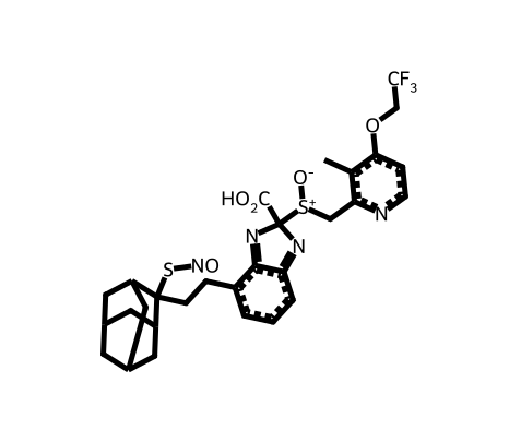 Cc1c(OCC(F)(F)F)ccnc1C[S+]([O-])C1(C(=O)O)N=c2cccc(CCC3(SN=O)C4CC5CC(C4)CC3C5)c2=N1